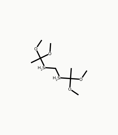 COC(C)(OC)[SiH2]C[SiH2]C(C)(OC)OC